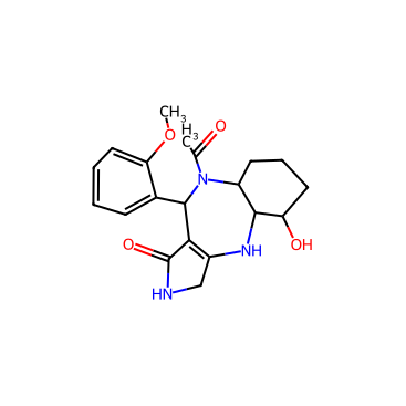 COc1ccccc1C1C2=C(CNC2=O)NC2C(O)CCCC2N1C(C)=O